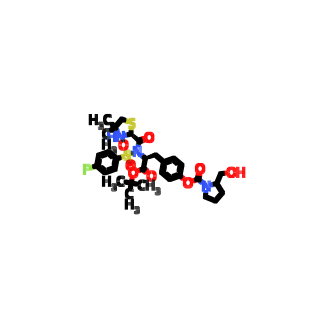 CC1(C)CS[C@@H](C(=O)N([C@@H](Cc2ccc(OC(=O)N3CCCC3CO)cc2)C(=O)OC(C)(C)C)S(=O)(=O)c2ccc(F)cc2)N1